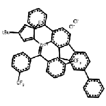 CCC1C=C(C(C)(C)C)C=[C]1[Zr+2](=[C](c1cccc(C(F)(F)F)c1)c1cccc(C(F)(F)F)c1)[c]1c(-c2ccccc2)ccc2c1Cc1cc(-c3ccccc3)ccc1-2.[Cl-].[Cl-]